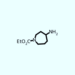 CCOC(=O)N1CCCC(N)CC1